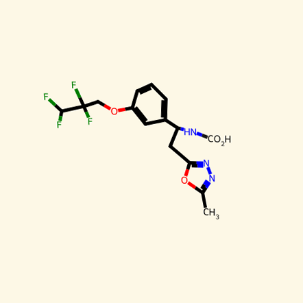 Cc1nnc(CC(NC(=O)O)c2cccc(OCC(F)(F)C(F)F)c2)o1